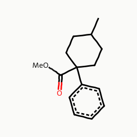 COC(=O)C1(c2ccccc2)CCC(C)CC1